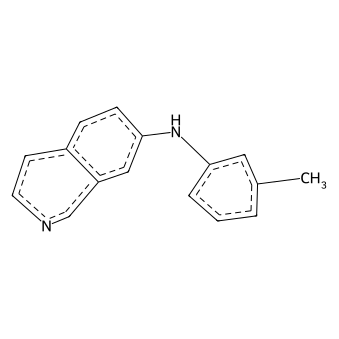 Cc1cccc(Nc2ccc3ccncc3c2)c1